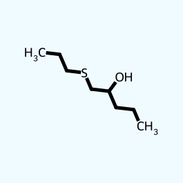 CCCSCC(O)CCC